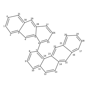 c1ccc2cc3c(-c4cccc5ccc6cc7ccccc7cc6c45)cccc3cc2c1